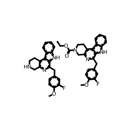 CCOC(=O)N1CCc2c(nc(Cc3ccc(OC)c(F)c3)c3[nH]c4ccccc4c23)C1.COc1ccc(Cc2nc3c(c4c2[nH]c2ccccc24)CCNC3)cc1F